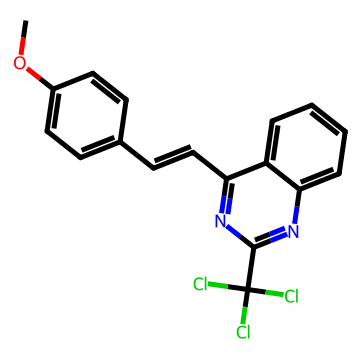 COc1ccc(/C=C/c2nc(C(Cl)(Cl)Cl)nc3ccccc23)cc1